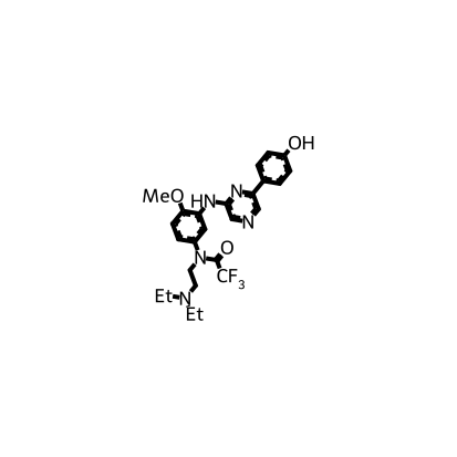 CCN(CC)CCN(C(=O)C(F)(F)F)c1ccc(OC)c(Nc2cncc(-c3ccc(O)cc3)n2)c1